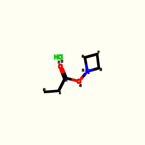 CCC(=O)ON1CCC1.Cl